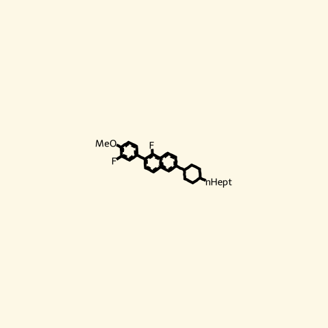 CCCCCCCC1CCC(c2ccc3c(F)c(-c4ccc(OC)c(F)c4)ccc3c2)CC1